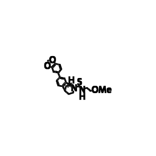 COCCNC(=S)N1CCC2C[C@@H]1c1cc(-c3ccc4c(c3)OCO4)ccc12